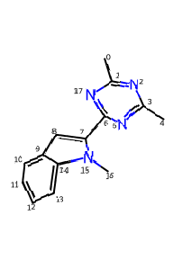 Cc1nc(C)nc(-c2cc3ccccc3n2C)n1